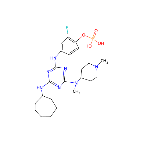 CN1CCC(N(C)c2nc(Nc3ccc(OP(=O)(O)O)c(F)c3)nc(NC3CCCCCC3)n2)CC1